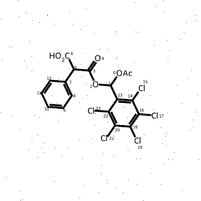 CC(=O)OC(OC(=O)C(C(=O)O)c1ccccc1)c1c(Cl)c(Cl)c(Cl)c(Cl)c1Cl